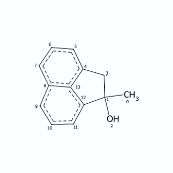 CC1(O)[CH]c2cccc3cccc1c23